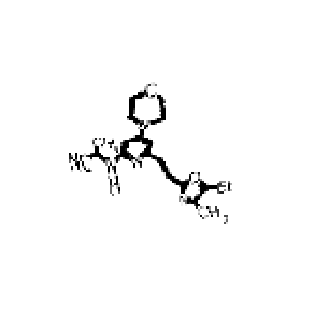 CCc1oc(CCc2cc(N3CCOCC3)cc(NC(C)C#N)n2)nc1C